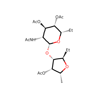 CC[C@@H]1O[C@H](O[C@H]2[C@@H](OC(C)=O)[C@@H](C)O[C@@H]2CC)[C@H](NC(C)=O)[C@@H](OC(C)=O)[C@@H]1OC(C)=O